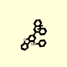 CC12C=CC=CC1C=C(c1cc(Nc3ccccc3)c3c(c1)oc1ccccc13)C1C=CC=CC12C